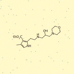 CCOC(=O)c1c(C)c[nH]c1CCNCC(O)CN1CCOCC1